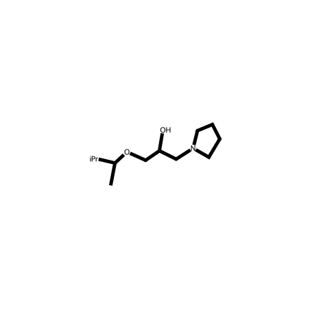 CC(C)C(C)OCC(O)CN1CCCC1